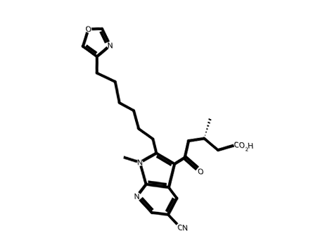 C[C@H](CC(=O)O)CC(=O)c1c(CCCCCCc2cocn2)n(C)c2ncc(C#N)cc12